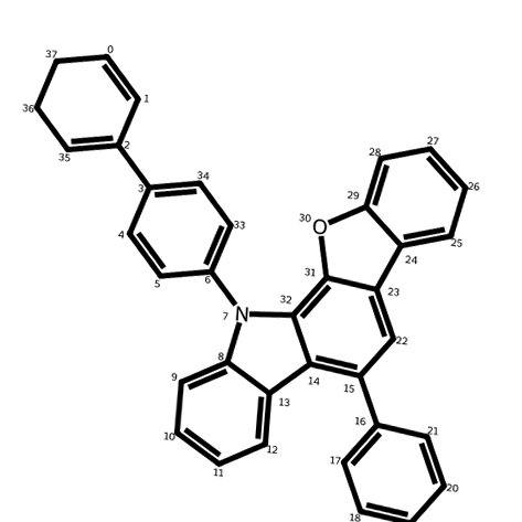 C1=CC(c2ccc(-n3c4ccccc4c4c(-c5ccccc5)cc5c6ccccc6oc5c43)cc2)=CCC1